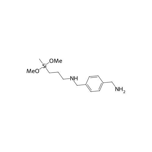 CO[Si](C)(CCCNCc1ccc(CN)cc1)OC